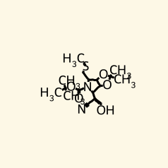 CSCC1C2OC(C)(C)OC2C(C(C#N)=CO)N1C(=O)OC(C)(C)C